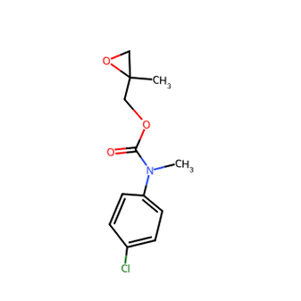 CN(C(=O)OCC1(C)CO1)c1ccc(Cl)cc1